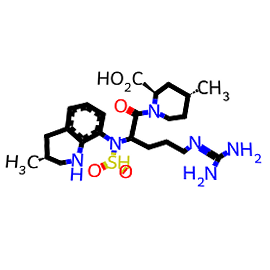 C[C@@H]1CCN(C(=O)C(CCCN=C(N)N)N(c2cccc3c2NC[C@H](C)C3)[SH](=O)=O)[C@@H](C(=O)O)C1